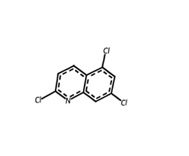 Clc1cc(Cl)c2ccc(Cl)nc2c1